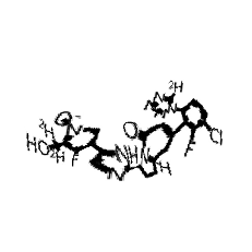 [2H]c1nnnn1-c1ccc(Cl)c(F)c1C1=CC(=O)N2[C@H](CC[C@H]2c2ncc(-c3cc[n+]([O-])c(C([2H])([2H])O)c3F)[nH]2)C1